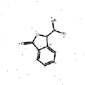 CCCC(CC)C1OC(=O)c2ccccc21